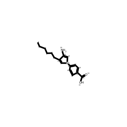 CCCCCCc1cn(-c2ccc(C(=O)O)cc2)cc1N